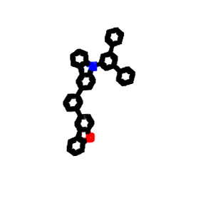 c1ccc(-c2cc(-c3ccccc3)cc(-n3c4ccccc4c4cc(-c5cccc(-c6ccc7oc8ccccc8c7c6)c5)ccc43)c2)cc1